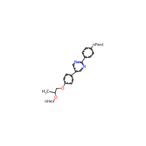 CCCCCCOC(C)COc1ccc(-c2cnc(-c3ccc(CCCCC)cc3)nc2)cc1